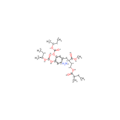 CCC(C)OC(=O)Oc1cc(C[C@](N)(CCOC(=O)C(C)CC)C(=O)OC)ccc1OC(=O)O[C@@H](C)CC